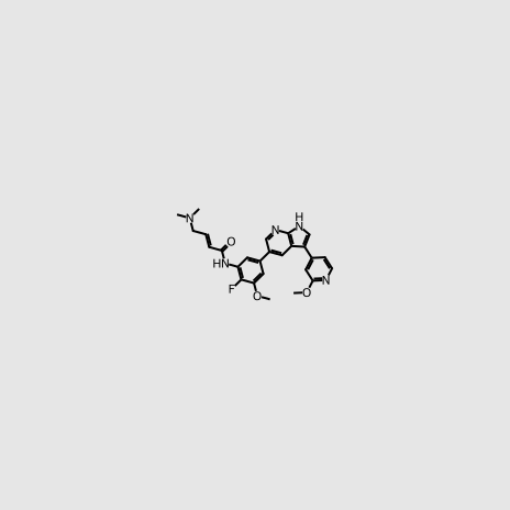 COc1cc(-c2c[nH]c3ncc(-c4cc(NC(=O)/C=C/CN(C)C)c(F)c(OC)c4)cc23)ccn1